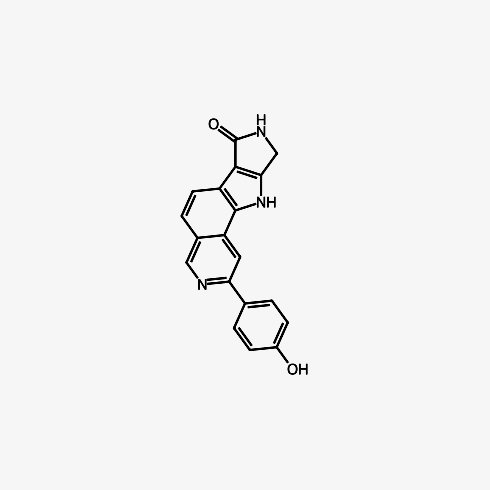 O=C1NCc2[nH]c3c(ccc4cnc(-c5ccc(O)cc5)cc43)c21